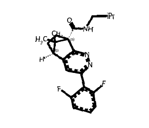 CC(C)CNC(=O)[C@]12CC[C@H](c3cc(-c4c(F)cccc4F)nnc31)C2(C)C